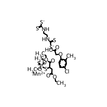 CCOC(=O)CC(SP(=S)(OC)OC)C(=O)OCC.Cc1cc(Cl)ccc1OCC(=O)O.S=C([S-])NCCNC(=S)[S-].[Mn+2]